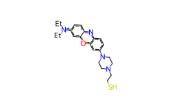 CC[N+](CC)=c1ccc2nc3ccc(N4CCN(CCS)CC4)cc3oc-2c1